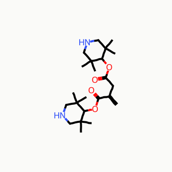 C=C(CC(=O)OC1C(C)(C)CNCC1(C)C)C(=O)OC1C(C)(C)CNCC1(C)C